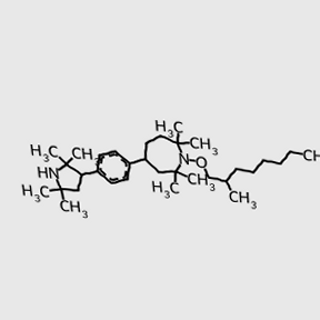 CCCCCCC(C)CON1C(C)(C)CCC(c2ccc(C3CC(C)(C)NC3(C)C)cc2)CC1(C)C